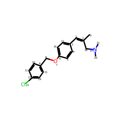 CC(=Cc1ccc(OCc2ccc(Cl)cc2)cc1)CN(C)C